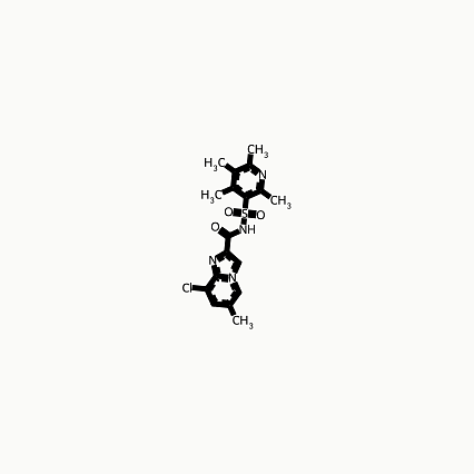 Cc1cc(Cl)c2nc(C(=O)NS(=O)(=O)c3c(C)nc(C)c(C)c3C)cn2c1